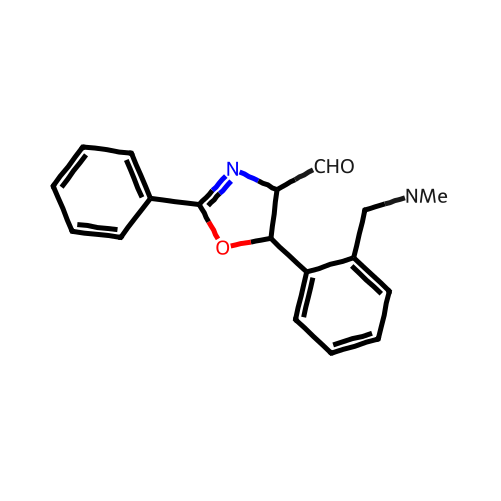 CNCc1ccccc1C1OC(c2ccccc2)=NC1C=O